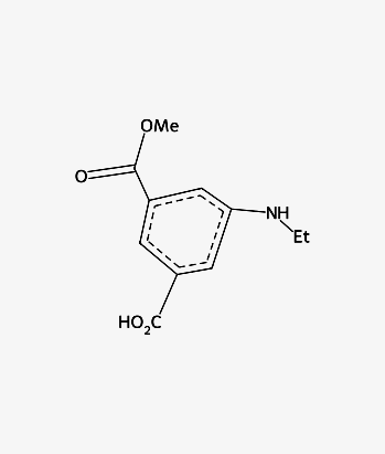 CCNc1cc(C(=O)O)cc(C(=O)OC)c1